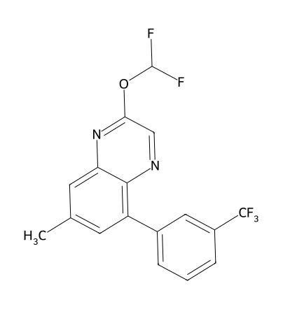 Cc1cc(-c2cccc(C(F)(F)F)c2)c2ncc(OC(F)F)nc2c1